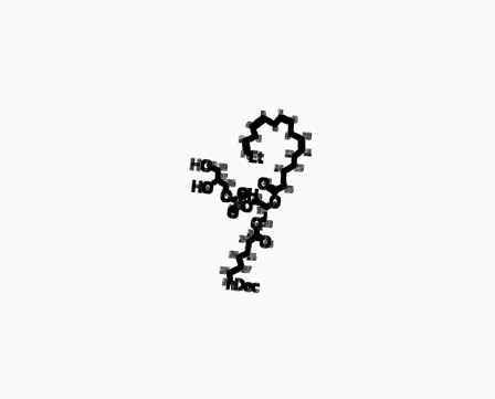 CC/C=C\C/C=C\C/C=C\C/C=C\CCCCC(=O)O[C@H](COC(=O)CCCCCCCCCCCCCCC)COP(=O)(O)OC[C@@H](O)CO